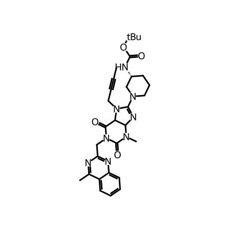 CC#CCN1C(N2CCC[C@@H](NC(=O)OC(C)(C)C)C2)=NC2C1C(=O)N(Cc1nc(C)c3ccccc3n1)C(=O)N2C